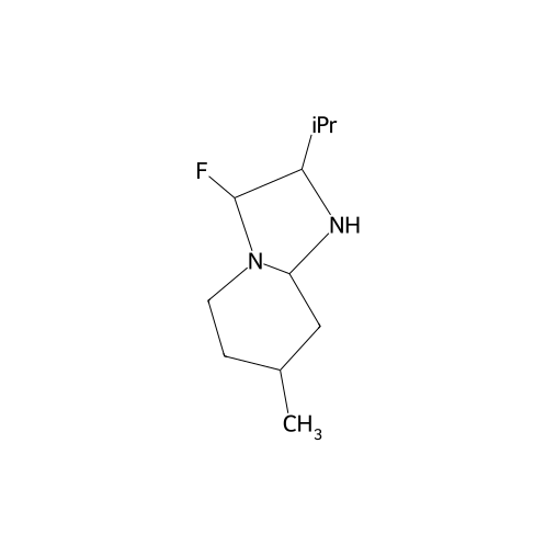 CC1CCN2C(C1)NC(C(C)C)C2F